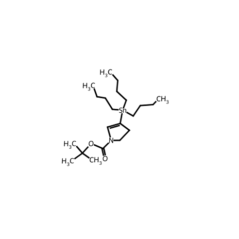 CCC[CH2][Sn]([CH2]CCC)([CH2]CCC)[C]1=CN(C(=O)OC(C)(C)C)CC1